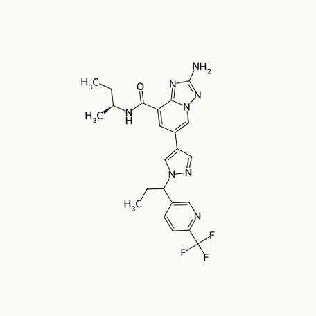 CCC(c1ccc(C(F)(F)F)nc1)n1cc(-c2cc(C(=O)N[C@@H](C)CC)c3nc(N)nn3c2)cn1